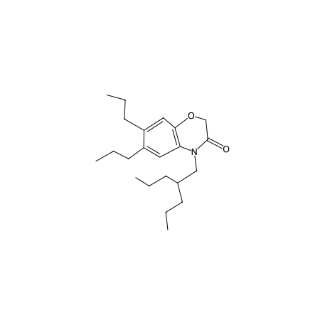 CCCc1cc2c(cc1CCC)N(CC(CCC)CCC)C(=O)CO2